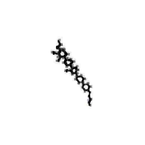 C/C=C/CCC1CCC(C2CC=C(c3ccc(-c4ccc(-c5ccc(OCC)c(F)c5F)cc4)c(F)c3)CC2)CC1